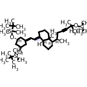 C[C@H](CC#CC(C)(C)O[Si](C)(C)C)[C@H]1CCC[C@H]2/C(=C/C=C3C[C@@H](O[Si](C)(C)C(C)(C)C)C[C@H](O[Si](C)(C)C(C)(C)C)C3)CCC[C@]12C